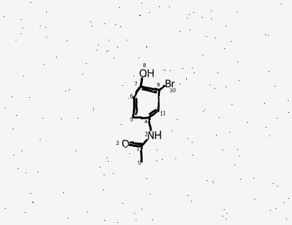 CC(=O)Nc1ccc(O)c(Br)c1